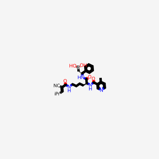 Cc1ccncc1C(=O)N[C@@H](CCCCNC(=O)C(C#N)=CC(C)C)C(=O)N[C@H](CB(O)O)c1ccccc1